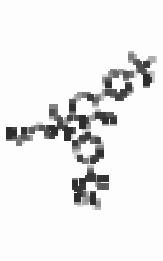 CCOC(F)(F)C1CCC(c2ccc(C(F)(F)F)cc2)C(=O)N1c1ccc(C(=O)OC)cc1